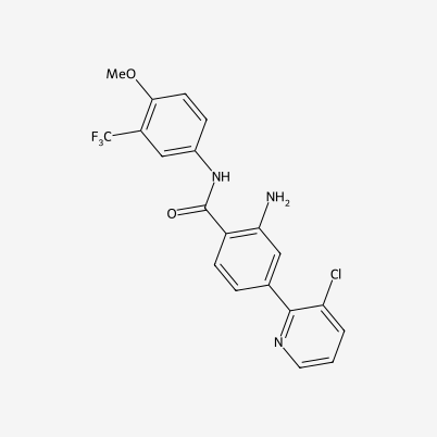 COc1ccc(NC(=O)c2ccc(-c3ncccc3Cl)cc2N)cc1C(F)(F)F